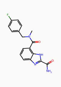 CN(Cc1ccc(F)cc1)C(=O)c1cccc2nc(C(N)=O)[nH]c12